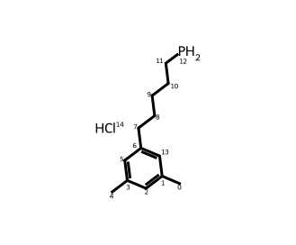 Cc1cc(C)cc(CCCCCP)c1.Cl